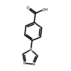 O=C(O)c1ccc(-n2cnnc2)cc1